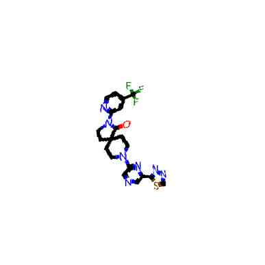 O=C1N(c2cc(C(F)(F)F)ccn2)CCC12CCN(c1cncc(-c3nncs3)n1)CC2